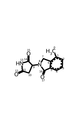 Cc1cccc2c1CN(C1CC(=O)NC1=O)C2=O